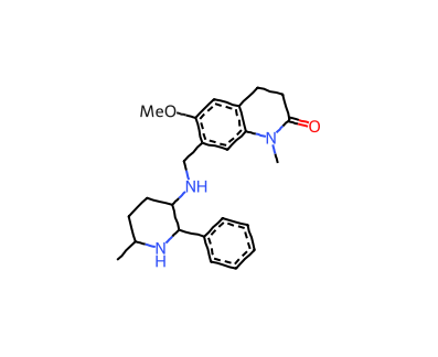 COc1cc2c(cc1CNC1CCC(C)NC1c1ccccc1)N(C)C(=O)CC2